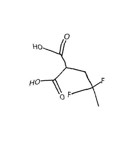 CC(F)(F)CC(C(=O)O)C(=O)O